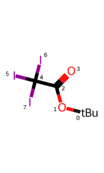 CC(C)(C)OC(=O)C(I)(I)I